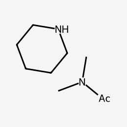 C1CCNCC1.CC(=O)N(C)C